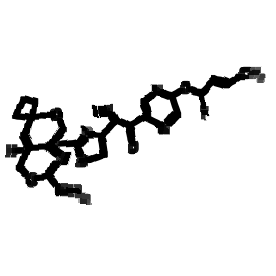 C/C=C/C(F)Oc1cnc(C(=O)C(=N)c2csc([C@]34COC5(CCC5)C[C@H]3COC(N)=N4)n2)cn1